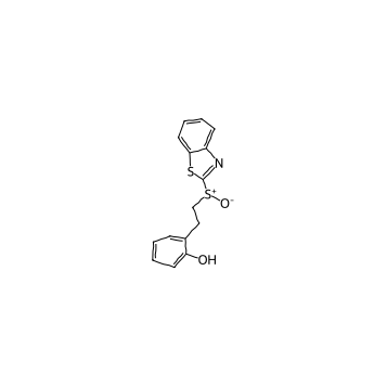 [O-][S+](CCc1ccccc1O)c1nc2ccccc2s1